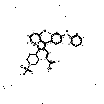 CS(=O)(=O)N1CCC(c2c(C=CC(=O)O)c(-c3ccc(Oc4ccccc4)cc3)c3c(N)ncnn23)CC1